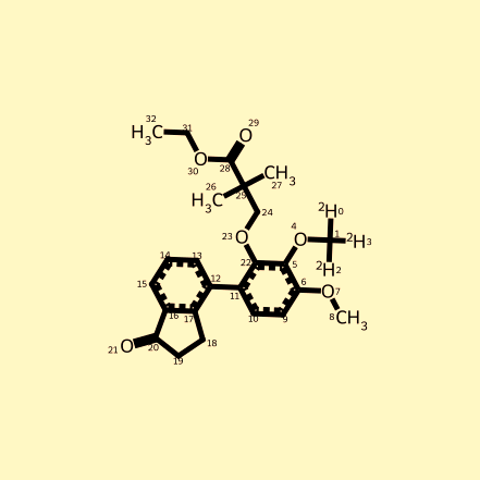 [2H]C([2H])([2H])Oc1c(OC)ccc(-c2cccc3c2CCC3=O)c1OCC(C)(C)C(=O)OCC